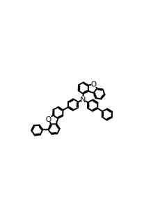 c1ccc(-c2ccc(N(c3ccc(-c4ccc5oc6c(-c7ccccc7)cccc6c5c4)cc3)c3cccc4oc5ccccc5c34)cc2)cc1